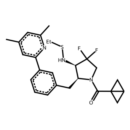 CCSN[C@@H]1[C@H](Cc2cccc(-c3cc(C)cc(C)n3)c2)N(C(=O)C23CC2C3)CC1(F)F